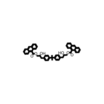 CC(C)(c1ccc(CC(O)COC(=O)c2c3ccccc3cc3ccccc23)cc1)c1ccc(CC(O)COC(=O)c2c3ccccc3cc3ccccc23)cc1